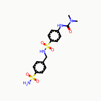 CN(C)C(=O)Nc1ccc(S(=O)(=O)NCc2ccc(S(N)(=O)=O)cc2)cc1